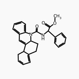 COC(=O)C(NC(=O)N1c2ccccc2C=C2C3CC=CC=C3CCC21)c1ccccc1